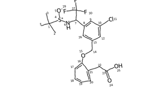 CC(C)(C)[S+]([O-])NC(c1cc(Cl)cc(COc2ccccc2CC(=O)O)c1)C(F)(F)F